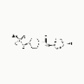 CCc1ccc(NC(=O)[C@H]2CC[C@H](NS(=O)(=O)C(C)(C)C)CC2)cc1